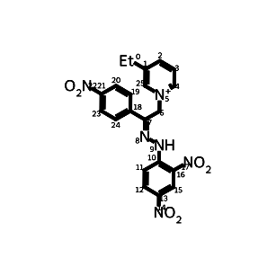 CCc1ccc[n+](C/C(=N\Nc2ccc([N+](=O)[O-])cc2[N+](=O)[O-])c2ccc([N+](=O)[O-])cc2)c1